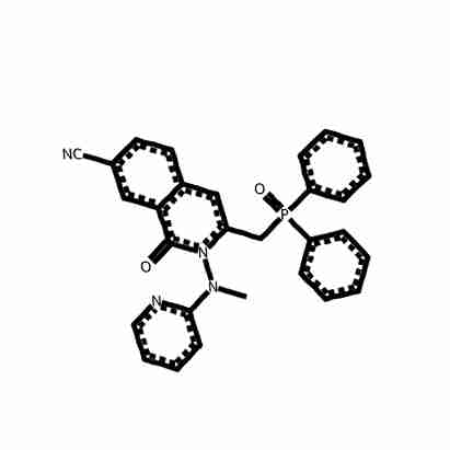 CN(c1ccccn1)n1c(CP(=O)(c2ccccc2)c2ccccc2)cc2ccc(C#N)cc2c1=O